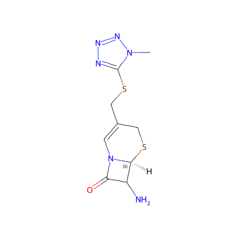 Cn1nnnc1SCC1=CN2C(=O)C(N)[C@@H]2SC1